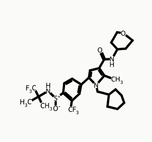 Cc1c(C(=O)NC2CCOCC2)cc(-c2ccc([S+]([O-])NC(C)(C)C(F)(F)F)c(C(F)(F)F)c2)n1CC1CCCCC1